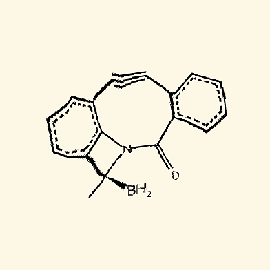 B[C@@]1(C)c2cccc3c2N1C(=O)c1ccccc1C#C3